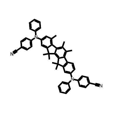 Cc1cc(N(c2ccccc2)c2ccc(C#N)cc2)cc2c1-c1c(C)c(C)c3c(c1C2(C)C)C(C)(C)c1cc(N(c2ccccc2)c2ccc(C#N)cc2)ccc1-3